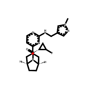 Cn1cc(CNc2nccc(N3C[C@H]4CC[C@@H](C3)N4C(=O)[C@@H]3CC3F)n2)cn1